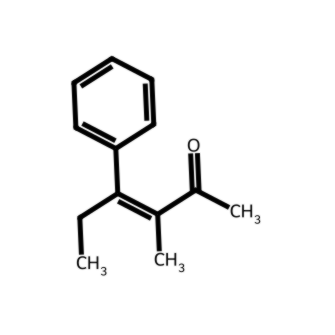 CCC(=C(C)C(C)=O)c1ccccc1